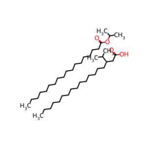 CCCCCCCCCCCCCCCC(CC(=O)O)C(C)C.CCCCCCCCCCCCCCCCCC(=O)OC(C)C